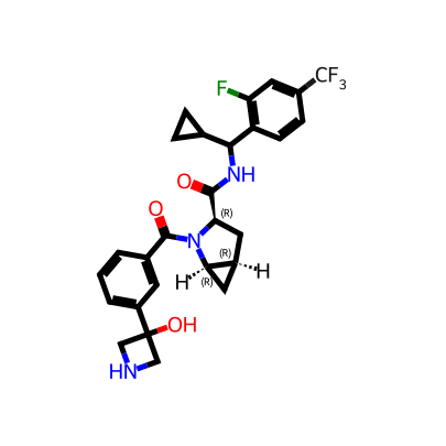 O=C(NC(c1ccc(C(F)(F)F)cc1F)C1CC1)[C@H]1C[C@H]2C[C@H]2N1C(=O)c1cccc(C2(O)CNC2)c1